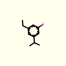 CCc1cc(I)cc([C](C)C)c1